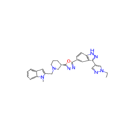 CCn1cc(-c2n[nH]c3ccc(-c4nnc([C@@H]5CCCN(Cc6cc7ccccc7n6C)C5)o4)cc23)cn1